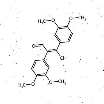 COc1ccc(C(Cl)=C(C=O)c2ccc(OC)c(OC)c2)cc1OC